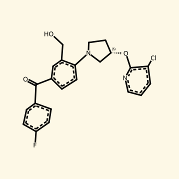 O=C(c1ccc(F)cc1)c1ccc(N2CC[C@H](Oc3ncccc3Cl)C2)c(CO)c1